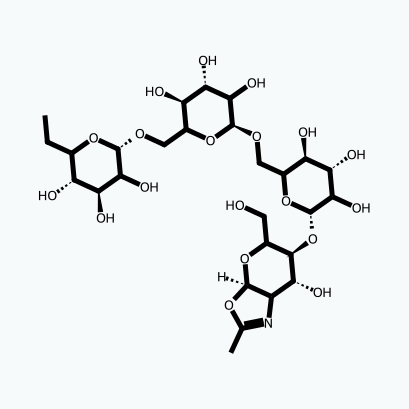 CCC1O[C@H](OCC2O[C@H](OCC3O[C@@H](O[C@@H]4C(CO)O[C@@H]5OC(C)=NC5[C@H]4O)C(O)[C@@H](O)[C@@H]3O)C(O)[C@@H](O)[C@@H]2O)C(O)[C@@H](O)[C@@H]1O